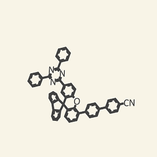 N#Cc1ccc(-c2ccc(-c3cccc4c3Oc3ccc(-c5nc(-c6ccccc6)nc(-c6ccccc6)n5)cc3C43c4ccccc4-c4ccccc43)cc2)cc1